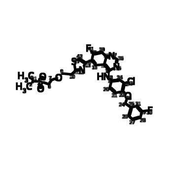 CC(C)S(=O)(=O)CCOCCc1nc(-c2cc3c(Nc4ccc(OCc5cccc(F)c5)c(Cl)c4)ncnc3cc2F)cs1